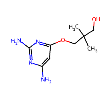 CC(C)(CO)COc1cc(N)nc(N)n1